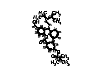 CC(C)N(CC[C@H](c1ccccc1)c1cc(CO)ccc1OC(=O)c1ccc(OC(=O)C(C)(C)C)cc1)C(C)C